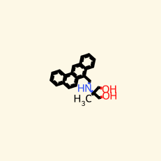 CC(CO)(CO)NCc1c2ccccc2cc2c1ccc1ccccc12